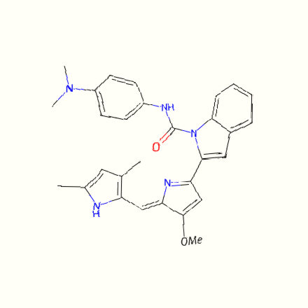 COC1=CC(c2cc3ccccc3n2C(=O)Nc2ccc(N(C)C)cc2)=NC1=Cc1[nH]c(C)cc1C